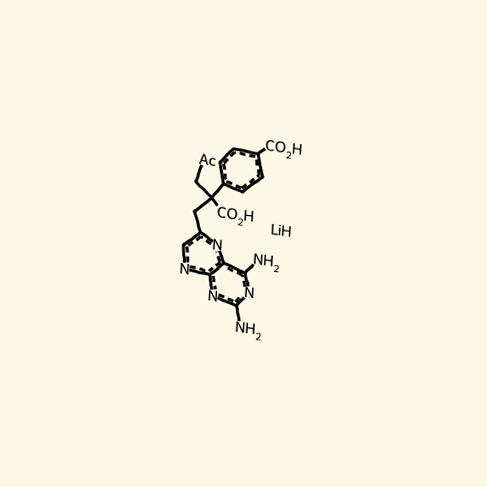 CC(=O)CC(Cc1cnc2nc(N)nc(N)c2n1)(C(=O)O)c1ccc(C(=O)O)cc1.[LiH]